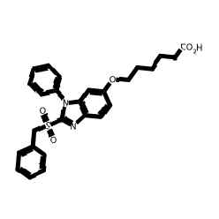 O=C(O)CCCCCOc1ccc2nc(S(=O)(=O)Cc3ccccc3)n(-c3ccccc3)c2c1